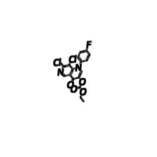 CCOC(=O)Oc1cn(-c2ccc(F)cc2)c2c(Cl)c(Cl)ncc2c1=O